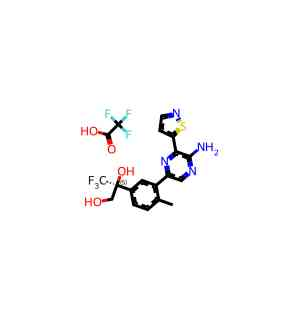 Cc1ccc([C@](O)(CO)C(F)(F)F)cc1-c1cnc(N)c(-c2ccns2)n1.O=C(O)C(F)(F)F